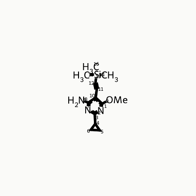 COc1nc(C2CC2)nc(N)c1C#C[Si](C)(C)C